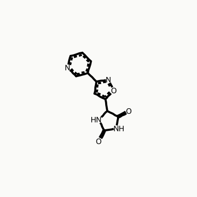 O=C1NC(=O)C(c2cc(-c3cccnc3)no2)N1